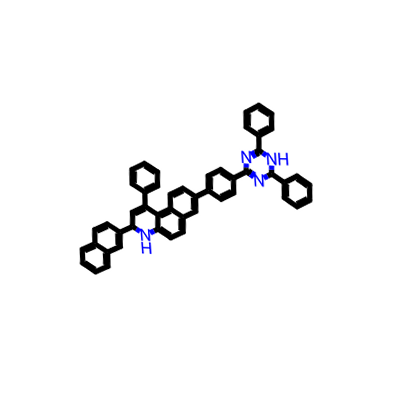 C1=C(c2ccccc2)c2c(ccc3cc(-c4ccc(C5=NC(c6ccccc6)NC(c6ccccc6)=N5)cc4)ccc23)NC1c1ccc2ccccc2c1